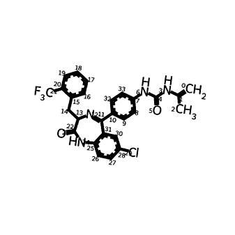 C=C(C)NC(=O)Nc1ccc(C2=NC(Cc3ccccc3C(F)(F)F)C(=O)Nc3ccc(Cl)cc32)cc1